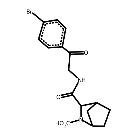 O=C(CNC(=O)C1C2CCC(C2)N1C(=O)O)c1ccc(Br)cc1